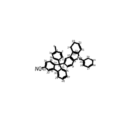 Cc1ccc(C2(c3ccc4c(c3)c3c(n4C4=CC=CCC4)C=CCC3)c3ccccc3-c3cc(C#N)ccc32)cc1